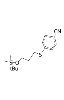 CC(C)(C)[Si](C)(C)OCCCSc1ccc(C#N)cc1